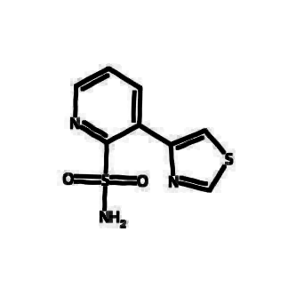 NS(=O)(=O)c1ncccc1-c1cscn1